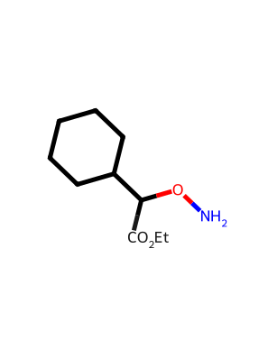 CCOC(=O)C(ON)C1CCCCC1